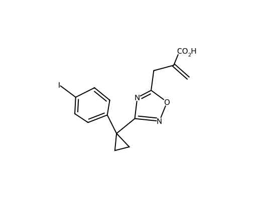 C=C(Cc1nc(C2(c3ccc(I)cc3)CC2)no1)C(=O)O